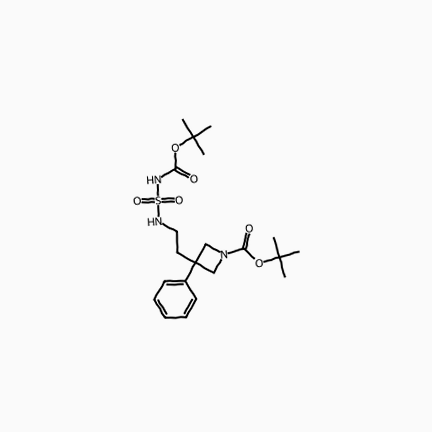 CC(C)(C)OC(=O)NS(=O)(=O)NCCC1(c2ccccc2)CN(C(=O)OC(C)(C)C)C1